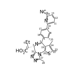 CCC(C(=O)O)[C@@H]1N=C(c2ccc(-c3cccc(C#N)n3)cc2)c2c(sc(C)c2C)-n2c(C)nnc21